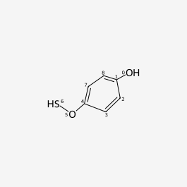 Oc1ccc(OS)cc1